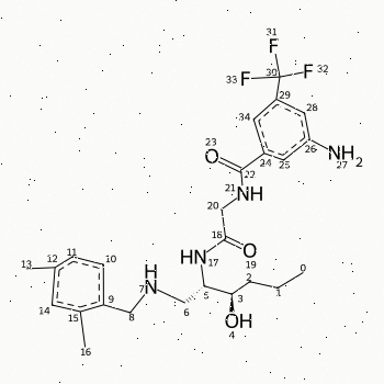 CCC[C@@H](O)[C@H](CNCc1ccc(C)cc1C)NC(=O)CNC(=O)c1cc(N)cc(C(F)(F)F)c1